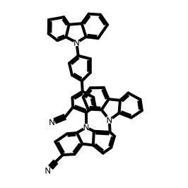 N#Cc1ccc2c(c1)c1cccc(-n3c4ccccc4c4ccccc43)c1n2-c1ccc(-c2ccc(-n3c4ccccc4c4ccccc43)cc2)cc1C#N